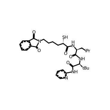 CC(C)C[C@H](NC(=O)[C@@H](S)CCCCN1C(=O)c2ccccc2C1=O)C(=O)N[C@H](C(=O)Nc1ccccn1)C(C)(C)C